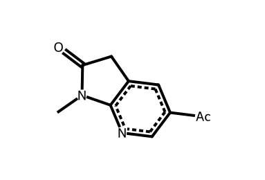 CC(=O)c1cnc2c(c1)CC(=O)N2C